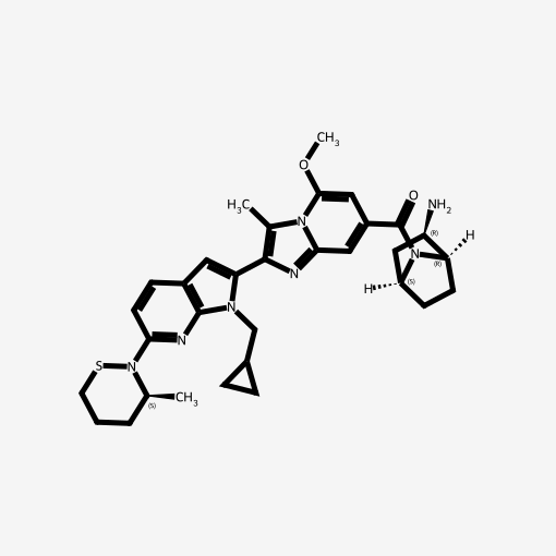 COc1cc(C(=O)N2[C@H]3CC[C@@H]2[C@H](N)C3)cc2nc(-c3cc4ccc(N5SCCC[C@@H]5C)nc4n3CC3CC3)c(C)n12